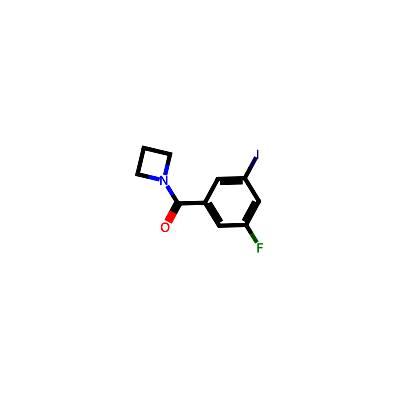 O=C(c1cc(F)cc(I)c1)N1CCC1